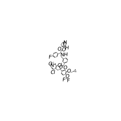 O=C(OC(Cc1c(Cl)c[n+]([O-])cc1Cl)c1ccc(OC(F)F)c(OCC2CC2)c1)c1cccc(CNC(C(=O)O[C@H]2CN3CCC2CC3)c2ccc(F)cc2)c1